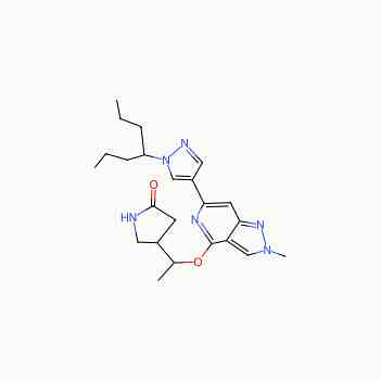 CCCC(CCC)n1cc(-c2cc3nn(C)cc3c(OC(C)C3CNC(=O)C3)n2)cn1